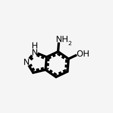 Nc1c(O)ccc2cn[nH]c12